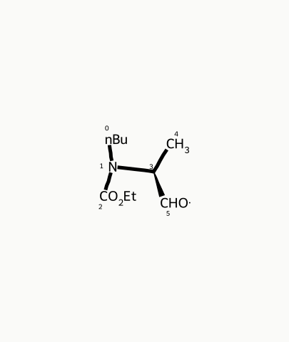 CCCCN(C(=O)OCC)[C@@H](C)[C]=O